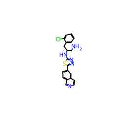 NCC(Cc1ccccc1Cl)Nc1nnc(-c2ccc3cnccc3c2)s1